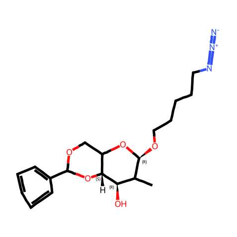 CC1[C@H](OCCCCCN=[N+]=[N-])OC2COC(c3ccccc3)O[C@H]2[C@@H]1O